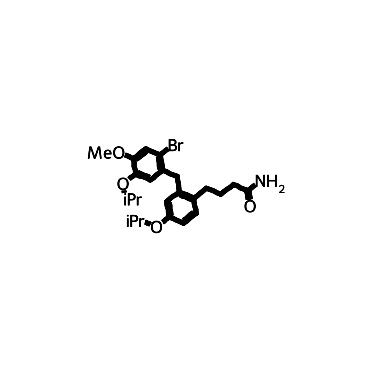 COc1cc(Br)c(Cc2cc(OC(C)C)ccc2CCCC(N)=O)cc1OC(C)C